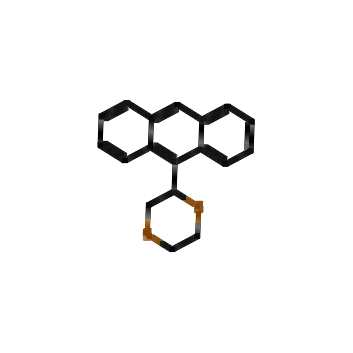 c1ccc2c(C3CSCCS3)c3ccccc3cc2c1